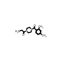 Cc1ccc(C(=O)N2CCN(C(=O)CN)CC2)c(C)c1